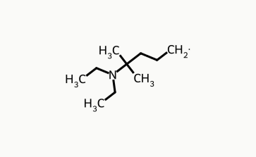 [CH2]CCC(C)(C)N(CC)CC